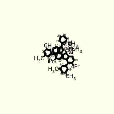 Cc1cc(C)cc(-c2c(C(C)C)ccc3c2C=C(c2ccccc2)[CH]3[Zr]([Cl])([Cl])([CH]2C(c3ccccc3)=Cc3c2ccc(C(C)C)c3-c2cc(C)cc(C)c2)[SiH](C)C)c1